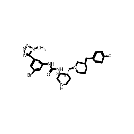 Cn1nnnc1-c1cc(Br)cc(NC(=O)N[C@H]2CNCC[C@H]2CN2CCCC(Cc3ccc(F)cc3)C2)c1